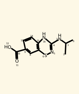 CC(C)NC1=NSc2cc(C(=O)O)ccc2N1